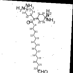 NC1(N)CCC(C(C(=O)CCCCCCCCCCCCCCC=O)C2CCC(N)(N)CC2)CC1